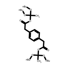 CCCCOC(C)(OCCCC)OC(=O)Cc1ccc(CC(=O)OC(C)(OCCCC)OCCCC)cc1